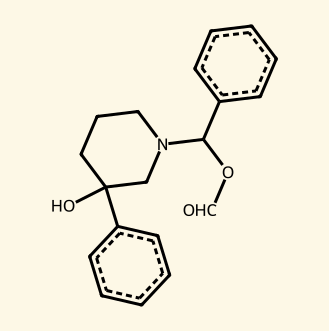 O=COC(c1ccccc1)N1CCCC(O)(c2ccccc2)C1